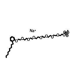 CCCCCCCCCc1ccccc1OCCOCCOCCOCCOCCOCCOCCOCCOP(=O)([O-])OC.[Na+]